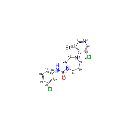 CCc1cncc(Cl)c1N1CCCN(C(=O)Nc2cccc(Cl)c2)CC1